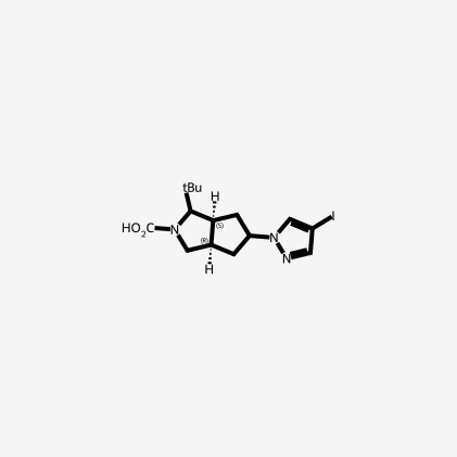 CC(C)(C)C1[C@H]2CC(n3cc(I)cn3)C[C@H]2CN1C(=O)O